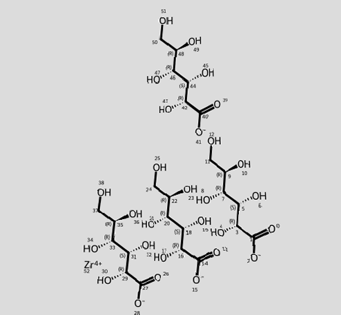 O=C([O-])[C@H](O)[C@@H](O)[C@H](O)[C@H](O)CO.O=C([O-])[C@H](O)[C@@H](O)[C@H](O)[C@H](O)CO.O=C([O-])[C@H](O)[C@@H](O)[C@H](O)[C@H](O)CO.O=C([O-])[C@H](O)[C@@H](O)[C@H](O)[C@H](O)CO.[Zr+4]